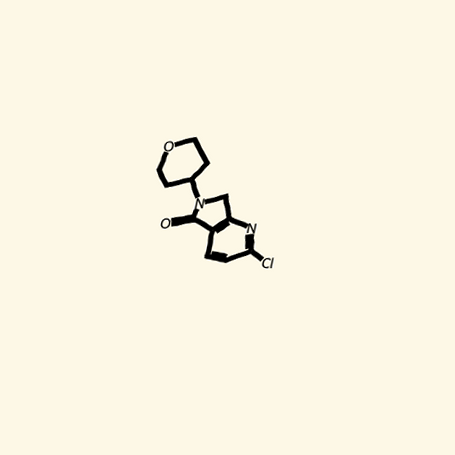 O=C1c2ccc(Cl)nc2CN1C1CCOCC1